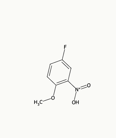 COc1ccc(F)cc1[N+](=O)O